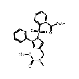 COC(=O)c1ccccc1S(=O)(=O)n1cc(CN(C)C(=O)OC(C)(C)C)cc1-c1ccccc1